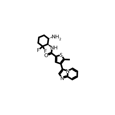 Cc1sc(C(=O)N[C@@H]2[C@@H](N)CCCC2(F)F)cc1-c1cnc2ccccn12